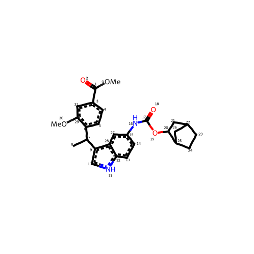 COC(=O)c1ccc(C(C)c2c[nH]c3ccc(NC(=O)OC4CC5CCC4C5)cc23)c(OC)c1